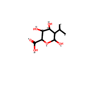 CC(C)C1C(O)OC(C(=O)O)C(O)C1O